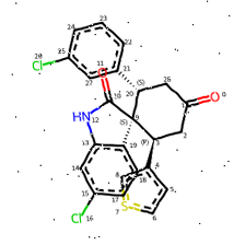 O=C1C[C@@H](c2ccsc2)[C@@]2(C(=O)Nc3cc(Cl)ccc32)[C@H](c2cccc(Cl)c2)C1